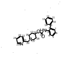 O=C(Nc1ccccc1-c1ccccc1)OC1CCN(Cc2ccccn2)CC1